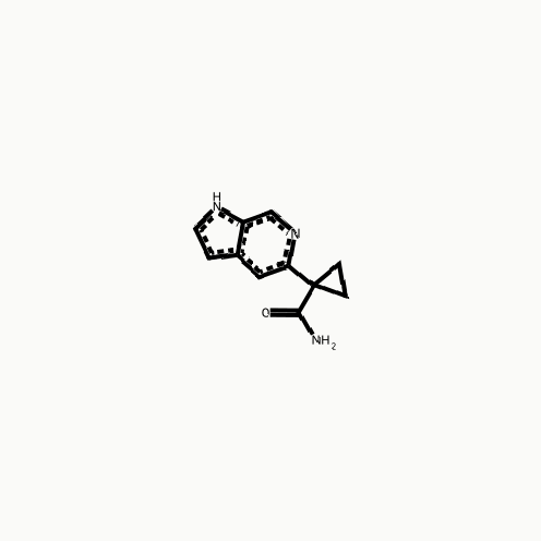 NC(=O)C1(c2cc3cc[nH]c3cn2)CC1